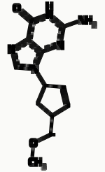 CO[CH]C1C=CC(n2cnc3c(=O)[nH]c(N)nc32)C1